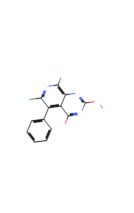 CCOc1nc(O)c2c(-c3ccccc3)c(Cl)nc(Cl)c2n1